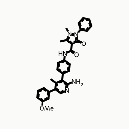 COc1cccc(-c2cnc(N)c(-c3ccc(NC(=O)c4c(C)n(C)n(-c5ccccc5)c4=O)cc3)c2C)c1